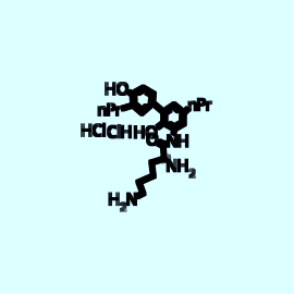 CCCc1cc(NC(=O)[C@@H](N)CCCCN)c(O)c(-c2ccc(O)c(CCC)c2)c1.Cl.Cl